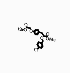 COC(=O)C(Cc1ccc(OCC(=O)OC(C)(C)C)cc1)OCc1ccc(Cl)cc1